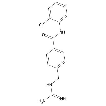 N=C(N)NCc1ccc(C(=O)Nc2ccccc2Cl)cc1